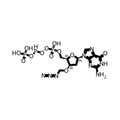 [N-]=[N+]=NCO[C@@H]1C[C@H](n2cnc3c(=O)[nH]c(N)nc32)O[C@@H]1COP(=O)(O)OOPOP(=O)(O)O